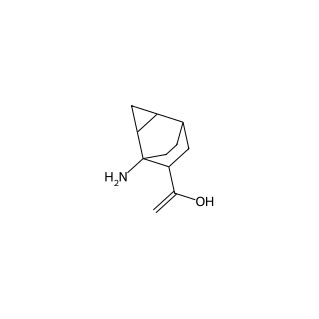 C=C(O)C1CC2CCC1(N)C1CC21